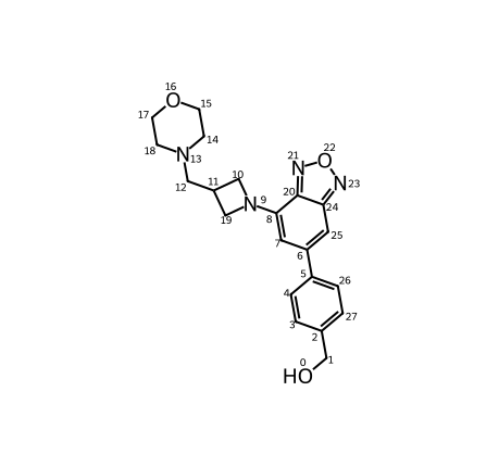 OCc1ccc(-c2cc(N3CC(CN4CCOCC4)C3)c3nonc3c2)cc1